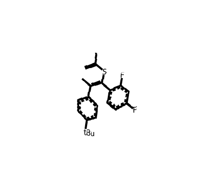 C=C(C)S/C(=C(\C)c1ccc(C(C)(C)C)cc1)c1ccc(F)cc1F